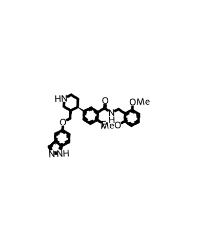 COc1cccc(OC)c1CNC(=O)c1cc([C@@H]2CCNCC2COc2ccc3[nH]ncc3c2)ccc1F